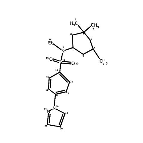 CCN(C1CC(C)CC(C)(C)C1)S(=O)(=O)c1ccc(-n2cccn2)cc1